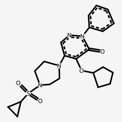 O=c1c(OC2CCCC2)c(N2CCN(S(=O)(=O)C3CC3)CC2)cnn1-c1ccccc1